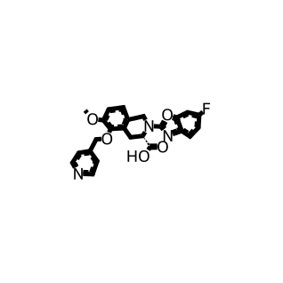 COc1ccc2c(c1OCc1ccncc1)C[C@@H](C(=O)O)N(c1nc3ccc(F)cc3o1)C2